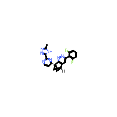 Cc1nnc(-c2nccc([C@]34CC[C@@H](c5cc(-c6c(F)cccc6F)nnc53)C4(C)C)n2)[nH]1